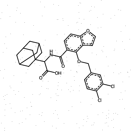 O=C(NC(C(=O)O)C12CC3CC(CC(C3)C1)C2)c1ccc2occc2c1OCc1ccc(Cl)c(Cl)c1